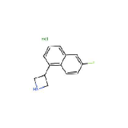 Cl.Fc1ccc2c(C3CNC3)cccc2c1